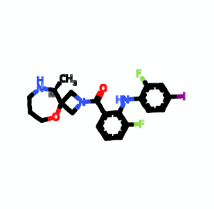 C[C@@H]1NCCCOC12CN(C(=O)c1cccc(F)c1Nc1ccc(I)cc1F)C2